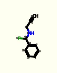 C#CCNC(F)c1ccccc1